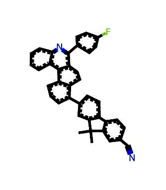 CC1(C)c2cc(C#N)ccc2-c2ccc(-c3cccc4c3ccc3c(-c5ccc(F)cc5)nc5ccccc5c34)cc21